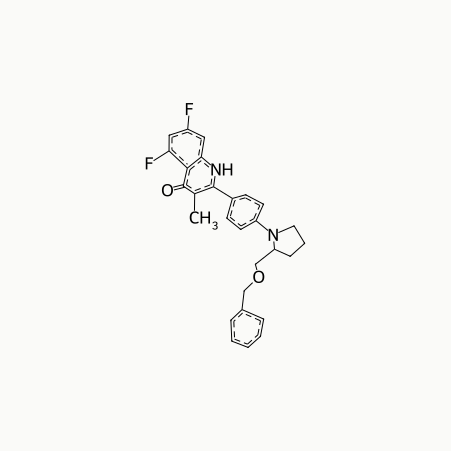 Cc1c(-c2ccc(N3CCCC3COCc3ccccc3)cc2)[nH]c2cc(F)cc(F)c2c1=O